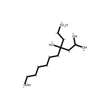 CCCCCCCCCCCCCCCCC(O)(CCS(=O)(=O)O)CC(O)O